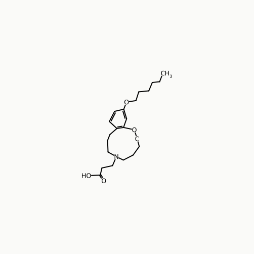 CCCCCCOc1ccc2c(c1)OCCCCN(CCC(=O)O)CCC2